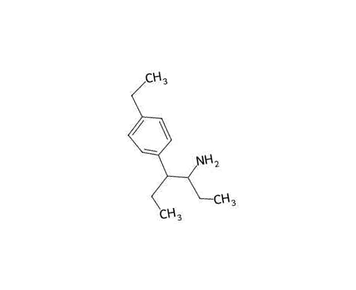 CCc1ccc(C(CC)C(N)CC)cc1